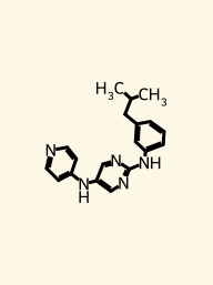 CC(C)Cc1cccc(Nc2ncc(Nc3ccncc3)cn2)c1